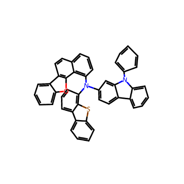 c1ccc(-n2c3ccccc3c3ccc(N(c4cccc5c4sc4ccccc45)c4cccc5ccc6c7ccccc7oc6c45)cc32)cc1